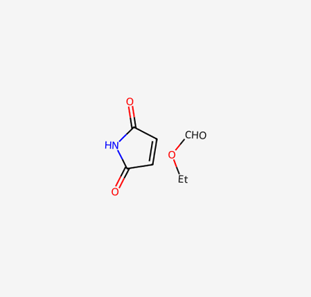 CCOC=O.O=C1C=CC(=O)N1